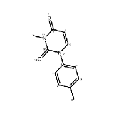 Cc1[c]cc(-n2ccc(=O)n(C)c2=O)cc1